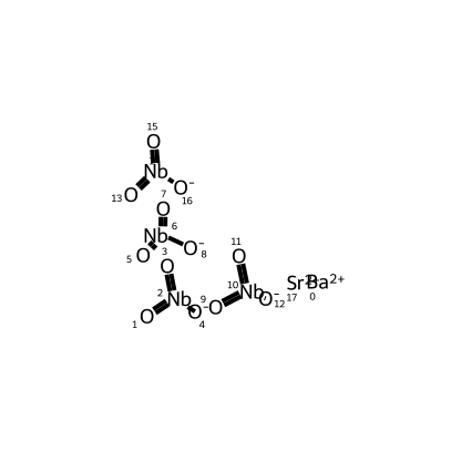 [Ba+2].[O]=[Nb](=[O])[O-].[O]=[Nb](=[O])[O-].[O]=[Nb](=[O])[O-].[O]=[Nb](=[O])[O-].[Sr+2]